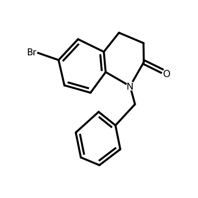 O=C1CCc2cc(Br)ccc2N1Cc1ccccc1